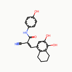 N#CC(=Cc1cc(O)c(O)c2c1CCCC2)C(=O)Nc1ccc(O)cc1